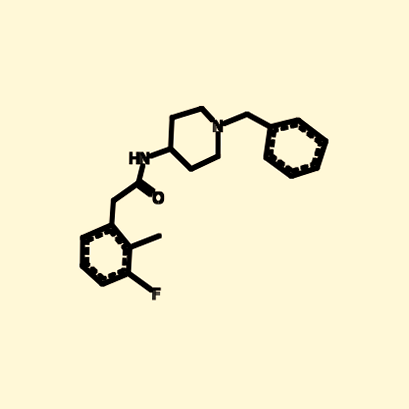 Cc1c(F)cccc1CC(=O)NC1CCN(Cc2ccccc2)CC1